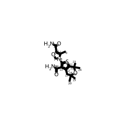 CC1=C(C(N)=O)OCN1c1sc2c(c1C(N)=O)CC(C)(C)OC2(C)C